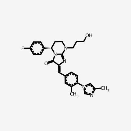 Cc1cn(-c2ccc(/C=C3\N=C4N(CCCO)CC[C@H](c5ccc(F)cc5)N4C3=O)cc2C)cn1